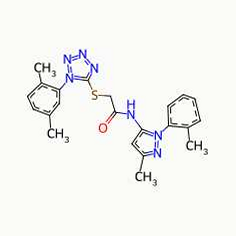 Cc1ccc(C)c(-n2nnnc2SCC(=O)Nc2cc(C)nn2-c2ccccc2C)c1